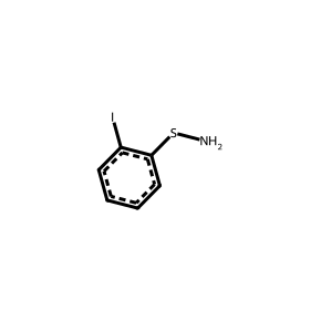 NSc1ccccc1I